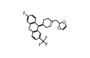 Fc1ccc2c(c1)Sc1ccc(C(F)(F)F)cc1C2=C1CCN(CC2OC=CO2)CC1